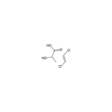 CC(O)C(=O)O.ClC=CCl